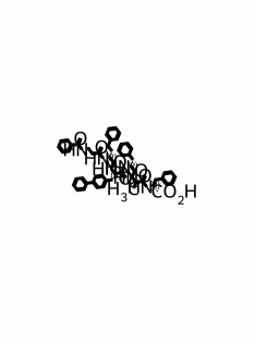 CC(NC(=O)[C@@H](CC1C=CC=CC1)NC(=O)[C@H](Cc1ccc(-c2ccccc2)cc1)NC(=O)[C@@H](CCc1ccccc1)NC(=O)CCNC(=O)c1ccccc1)C(=O)N[C@H](Cc1ccccc1)C(=O)O